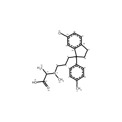 Cc1ccc(C2(CCCN(C)C(C)C(=O)O)CCc3ccc(Cl)cc32)cc1